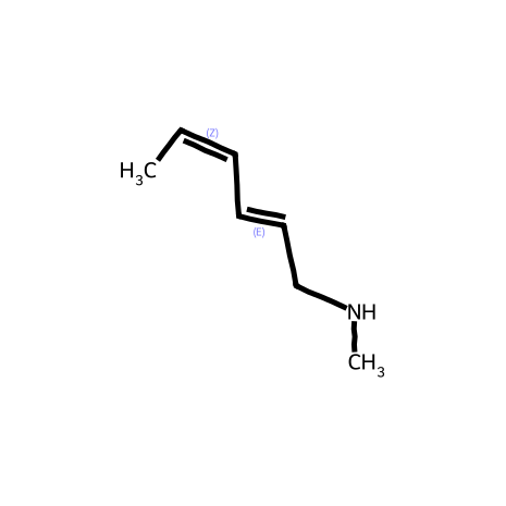 C/C=C\C=C\CNC